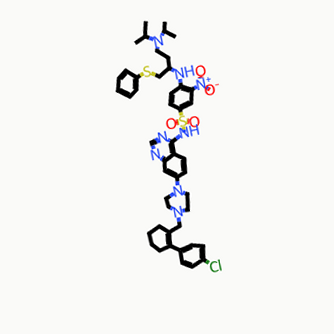 CC(C)N(CCC(CSc1ccccc1)Nc1ccc(S(=O)(=O)Nc2ncnc3cc(N4CCN(CC5=C(c6ccc(Cl)cc6)CCCC5)CC4)ccc23)cc1[N+](=O)[O-])C(C)C